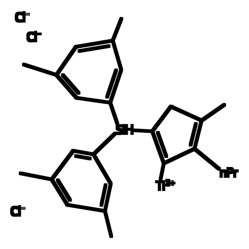 CCCC1=C(C)CC([SiH](c2cc(C)cc(C)c2)c2cc(C)cc(C)c2)=[C]1[Ti+3].[Cl-].[Cl-].[Cl-]